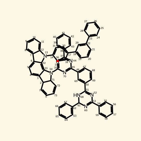 C1=CC2c3ccc4c5ccccc5n(-c5ccc(-c6cccc(-c7ccccc7)c6)cc5)c4c3N(c3nc(-c4ccccc4)nc(-c4cccc(C5=NC(c6ccccc6)=NC(c6ccccc6)N5)c4)n3)C2C=C1